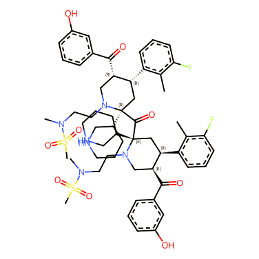 Cc1c(F)cccc1[C@@H]1C[C@](C(=O)[C@]2(C3CCCNC3)C[C@@H](c3cccc(F)c3C)[C@@H](C(=O)c3cccc(O)c3)CN2CCN(C)S(C)(=O)=O)(C2CCCNC2)N(CCN(C)S(C)(=O)=O)C[C@@H]1C(=O)c1cccc(O)c1